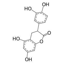 O=C1Oc2cc(O)cc(O)c2CC1c1ccc(O)c(O)c1